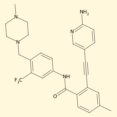 Cc1ccc(C(=O)Nc2ccc(CN3CCN(C)CC3)c(C(F)(F)F)c2)c(C#Cc2ccc(N)nc2)c1